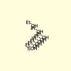 CC(C)O.CC(C)O.CC(C)O.CC(C)O.CCO.CCO.CCO.CCO.[Ti]